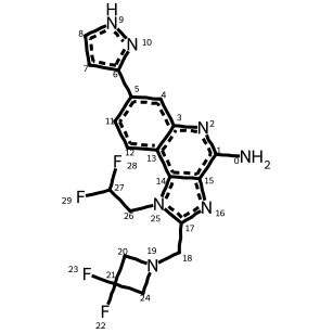 Nc1nc2cc(-c3cc[nH]n3)ccc2c2c1nc(CN1CC(F)(F)C1)n2CC(F)F